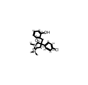 CN(C)CCC(Cc1ccccc1O)(C(=O)N(C)C)c1ccc(Cl)cc1